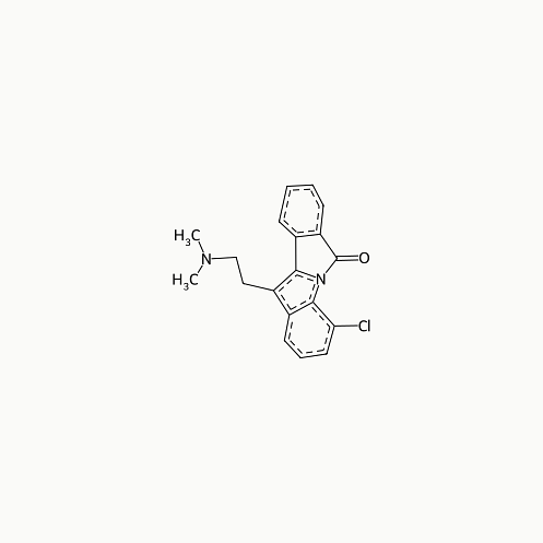 CN(C)CCc1c2n(c3c(Cl)cccc13)C(=O)c1ccccc1-2